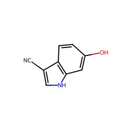 N#Cc1c[nH]c2cc(O)ccc12